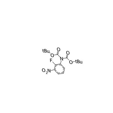 CC(C)(C)OC(=O)N(C(=O)OC(C)(C)C)c1cccc([N+](=O)[O-])c1F